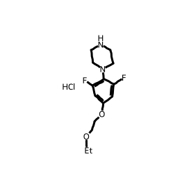 CCOCCOc1cc(F)c(N2CCNCC2)c(F)c1.Cl